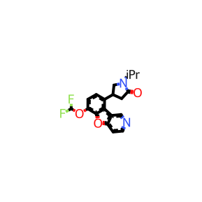 CC(C)N1CC(c2ccc(OC(F)F)c3oc4ccncc4c23)CC1=O